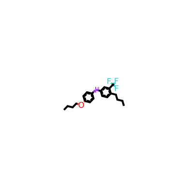 CCCCOc1ccc([I+]c2ccc(CCCC)c(C(F)(F)F)c2)cc1